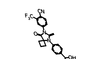 C=C1N(c2ccc(C#N)c(C(F)(F)F)c2)C(=O)C2(CCC2)N1c1ccc(C(C)O)cc1